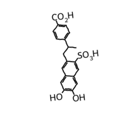 CC(Cc1cc2cc(O)c(O)cc2cc1S(=O)(=O)O)c1ccc(C(=O)O)cc1